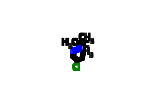 CC(C)(C)N1C=CC(Cl)=C=N1